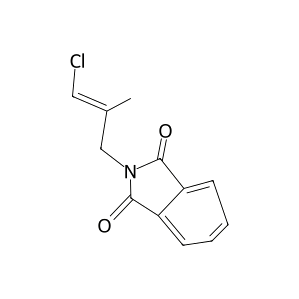 C/C(=C\Cl)CN1C(=O)c2ccccc2C1=O